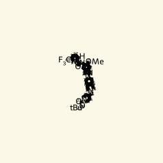 COc1cc2nn(C3CCC4(CC3)CCN(CC3CCN(C(=O)OC(C)(C)C)CC3)CC4)cc2cc1NC(=O)c1cccc(C(F)(F)F)n1